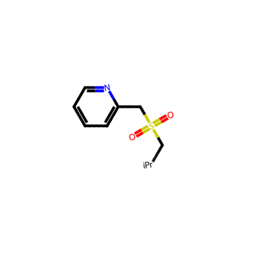 CC(C)CS(=O)(=O)Cc1ccccn1